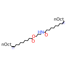 CCCCCCCC/C=C\CCCCCCCC(=O)NCCCOC(=O)CCCCCCC/C=C\CCCCCCCC